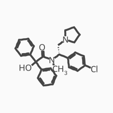 CN(C(=O)C(O)(c1ccccc1)c1ccccc1)[C@H](CN1CCCC1)c1ccc(Cl)cc1